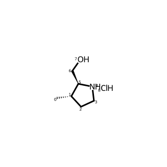 C[C@H]1CCN[C@@H]1CO.Cl